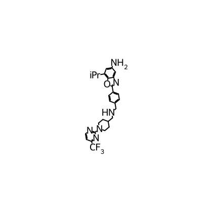 CC(C)c1cc(N)cc2nc(-c3ccc(CNCC4CCN(c5nccc(C(F)(F)F)n5)CC4)cc3)oc12